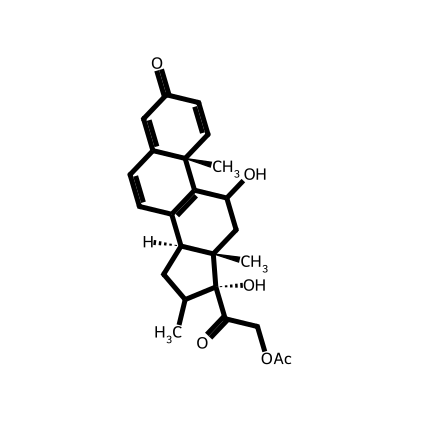 CC(=O)OCC(=O)[C@@]1(O)C(C)C[C@H]2C3=C(C(O)C[C@@]21C)[C@@]1(C)C=CC(=O)C=C1C=C3